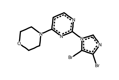 Brc1ncn(-c2nccc(N3CCOCC3)n2)c1Br